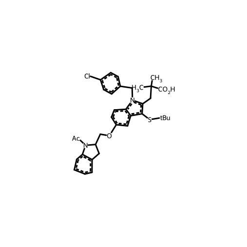 CC(=O)N1c2ccccc2CC1COc1ccc2c(c1)c(SC(C)(C)C)c(CC(C)(C)C(=O)O)n2Cc1ccc(Cl)cc1